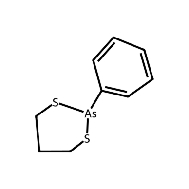 c1ccc([As]2SCCCS2)cc1